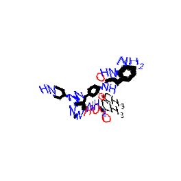 CC(=O)O.COc1cc(-c2nn(C3CCNCC3)c3ncnc(N)c23)ccc1NC(=O)c1cc2cccc(N)c2[nH]1